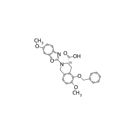 COc1ccc2nc(N3Cc4ccc(OC)c(OCc5ccccc5)c4C[C@H]3C(=O)O)oc2c1